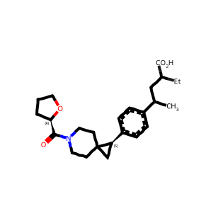 CCC(CC(C)c1ccc([C@H]2CC23CCN(C(=O)[C@H]2CCCO2)CC3)cc1)C(=O)O